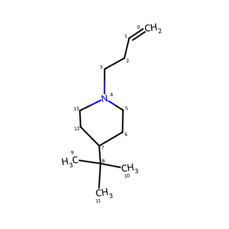 C=CCCN1CCC(C(C)(C)C)CC1